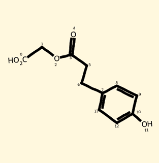 O=C(O)COC(=O)CCc1ccc(O)cc1